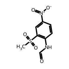 CS(=O)(=O)c1cc([N+](=O)[O-])ccc1NC=O